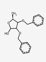 C[C@@H]1OC(O)C(OCc2ccccc2)C1OCc1ccccc1